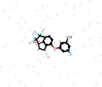 N#Cc1cc(F)cc(Oc2ccc3c4c2[C@H](F)C[C@@]4(O)C(F)(F)C3(F)F)c1